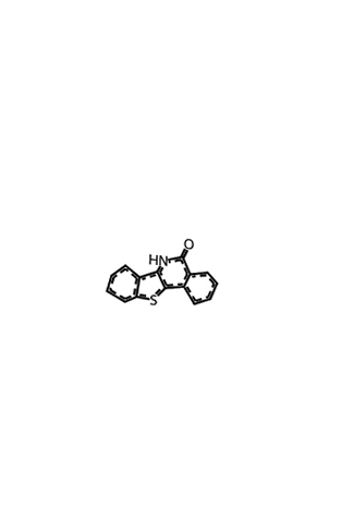 O=c1[nH]c2c3ccccc3sc2c2ccccc12